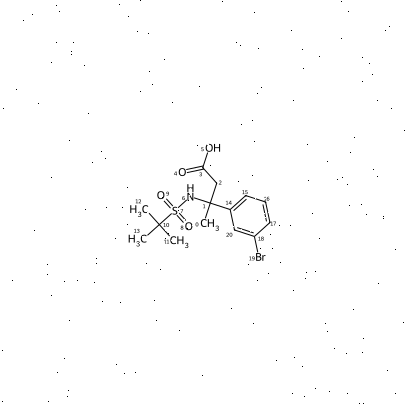 CC(CC(=O)O)(NS(=O)(=O)C(C)(C)C)c1cccc(Br)c1